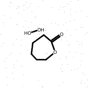 O=C1CCCCCO1.OO